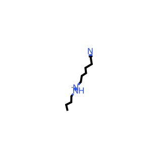 CCCCN[N]CCCCCC#N